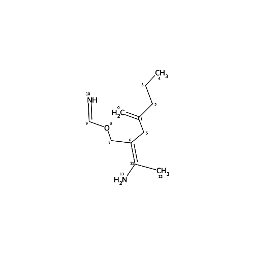 C=C(CCC)C/C(COC=N)=C(\C)N